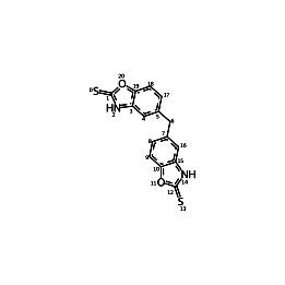 S=c1[nH]c2cc(Cc3ccc4oc(=S)[nH]c4c3)ccc2o1